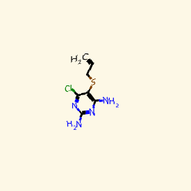 C=CCSc1c(N)nc(N)nc1Cl